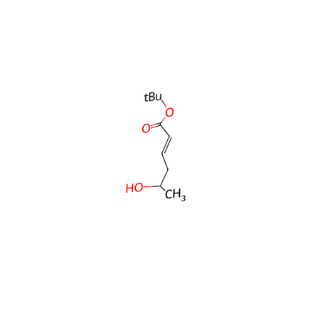 CC(O)CC=CC(=O)OC(C)(C)C